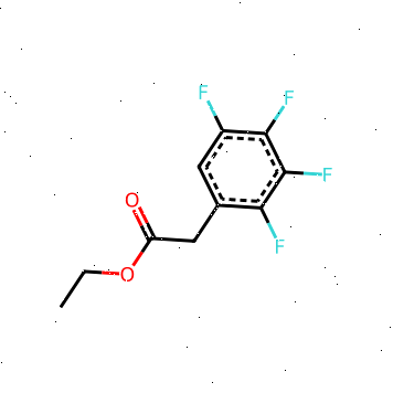 CCOC(=O)Cc1cc(F)c(F)c(F)c1F